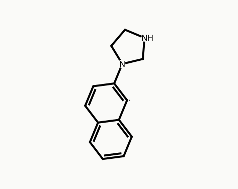 [c]1c(N2CCNC2)ccc2ccccc12